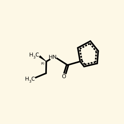 CC[C@@H](C)NC(=O)c1ccccc1